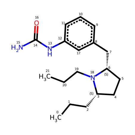 CCC[C@H]1CC[C@@H](Cc2cccc(NC(N)=O)c2)N1CCC